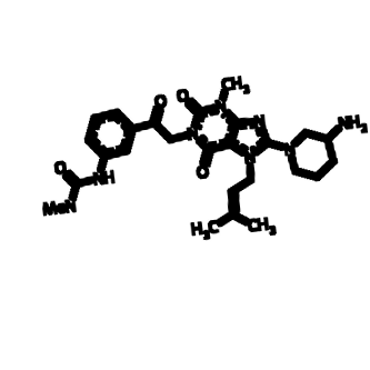 CNC(=O)Nc1cccc(C(=O)Cn2c(=O)c3c(nc(N4CCCC(N)C4)n3CC=C(C)C)n(C)c2=O)c1